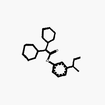 CCC(C)c1cccc(OC(=O)C(C2CCCCC2)C2CCCCC2)c1